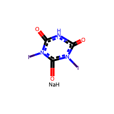 O=c1[nH]c(=O)n(I)c(=O)n1I.[NaH]